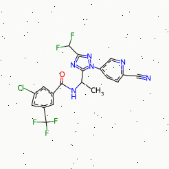 CC(NC(=O)c1cc(Cl)cc(C(F)(F)F)c1)c1nc(C(F)F)nn1-c1ccc(C#N)nc1